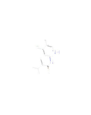 Cc1c[nH]c2nc(=S)c(C(C)C)cc-2c1F